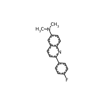 CN(C)c1ccc2nc(-c3ccc(F)cc3)ccc2c1